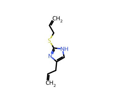 C=CCSc1nc(CC=C)c[nH]1